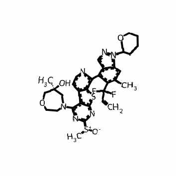 C=CC(F)(F)c1c(C)cc2c(cnn2C2CCCCO2)c1-c1nccc2c1sc1nc([S+](C)[O-])nc(N3CCOC[C@@](C)(O)C3)c12